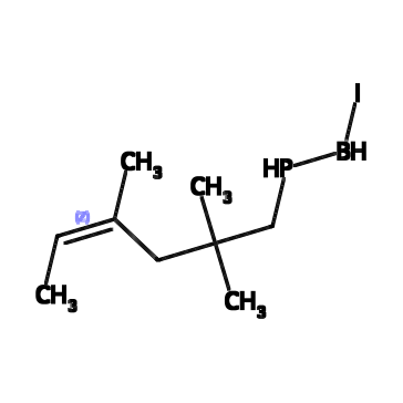 C/C=C(/C)CC(C)(C)CPBI